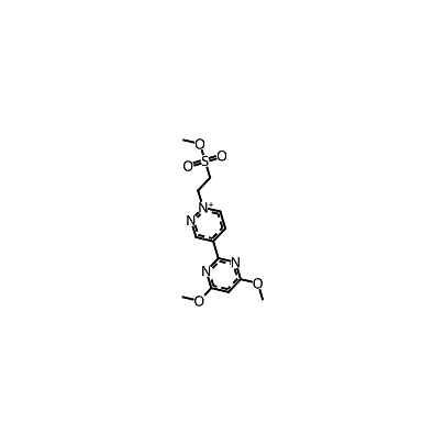 COc1cc(OC)nc(-c2cc[n+](CCS(=O)(=O)OC)nc2)n1